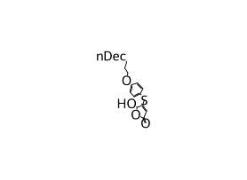 CCCCCCCCCCCCCOc1ccc(SC2=CC(=O)OC2O)cc1